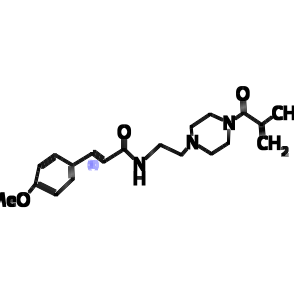 C=C(C)C(=O)N1CCN(CCNC(=O)/C=C/c2ccc(OC)cc2)CC1